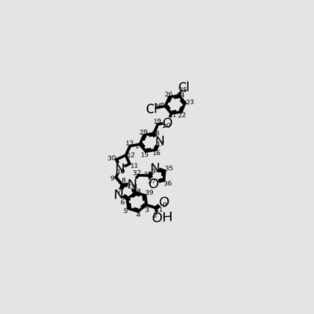 O=C(O)c1ccc2nc(CN3CC(Cc4ccnc(COc5ccc(Cl)cc5Cl)c4)C3)n(Cc3ncco3)c2c1